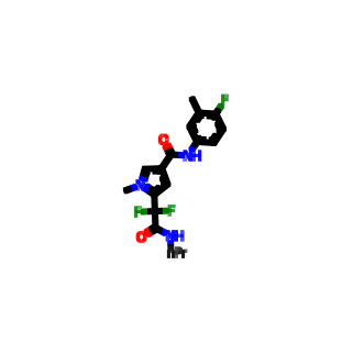 CCCNC(=O)C(F)(F)c1cc(C(=O)Nc2ccc(F)c(C)c2)cn1C